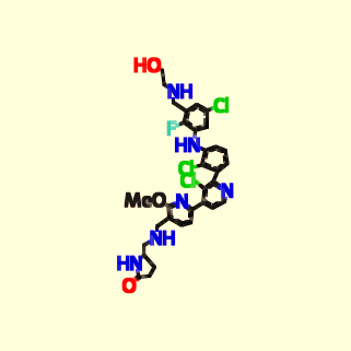 COc1nc(-c2ccnc(-c3cccc(Nc4cc(Cl)cc(CNCCO)c4F)c3Cl)c2Cl)ccc1CNCC1CCC(=O)N1